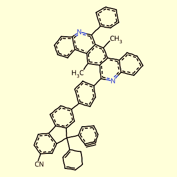 Cc1c2c(-c3ccc(-c4ccc5c(c4)C(C4=CC=CCC4)(c4c#cccc4)c4cc(C#N)ccc4-5)cc3)nc3ccccc3c2c(C)c2c(-c3ccccc3)nc3ccccc3c12